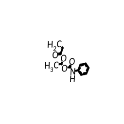 C=CC(=O)OC(C)OC(=O)Nc1ccccc1